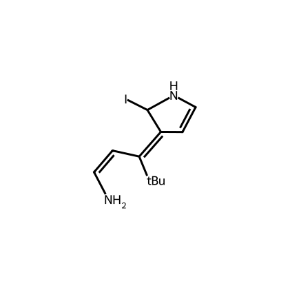 CC(C)(C)C(/C=C\N)=C1\C=CNC1I